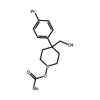 CC(C)c1ccc(C2(CC#N)CCN(OC(=O)C(C)(C)C)CC2)cc1